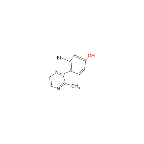 CCc1cc(O)ccc1-c1nccnc1C